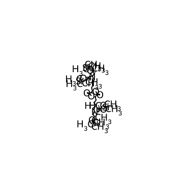 CC(CN(CCCCC1OC(=O)C(CCCCN(C[C@@H](C)O[Si](C)(C)C)C[C@@H](C)O[Si](C)(C)C)OC1=O)C[C@@H](C)O[Si](C)(C)C)O[Si](C)(C)C